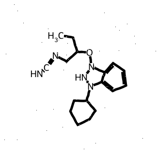 CCC(CN=C=N)ON1NN(C2CCCCC2)c2ccccc21